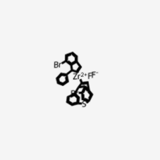 Brc1cccc2c1C(c1ccccc1)[C]([Zr+2][C]1=Cc3cc4cc(Br)c3C1c1cccc(c1)S4)=C2.[F-].[F-]